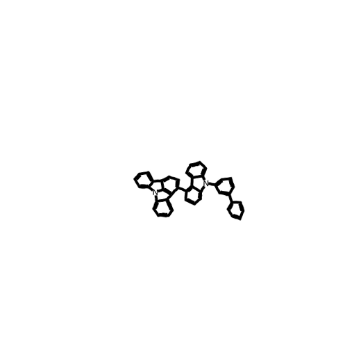 c1ccc(-c2cccc(-n3c4ccccc4c4c(-c5ccc6c7ccccc7n7c8ccccc8c5c67)cccc43)c2)cc1